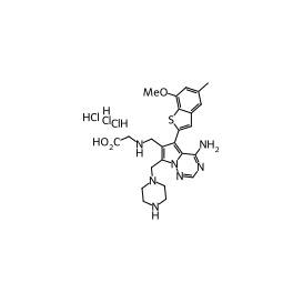 COc1cc(C)cc2cc(-c3c(CNCC(=O)O)c(CN4CCNCC4)n4ncnc(N)c34)sc12.Cl.Cl.Cl